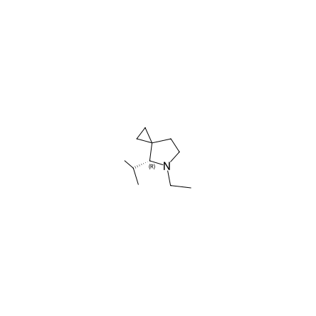 CCN1CCC2(CC2)[C@H]1C(C)C